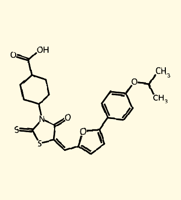 CC(C)Oc1ccc(-c2ccc(C=C3SC(=S)N(C4CCC(C(=O)O)CC4)C3=O)o2)cc1